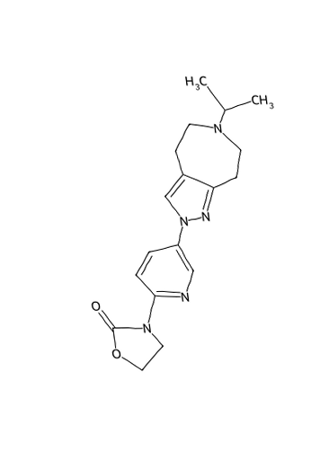 CC(C)N1CCc2cn(-c3ccc(N4CCOC4=O)nc3)nc2CC1